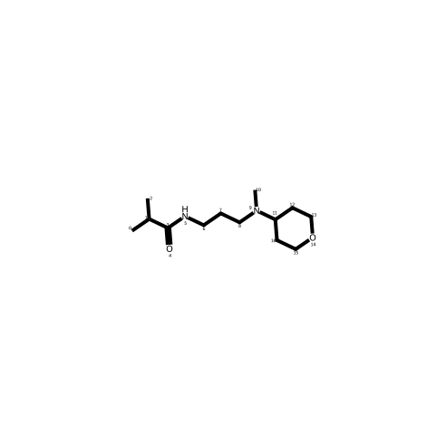 CC(C)C(=O)NCCCN(C)C1CCOCC1